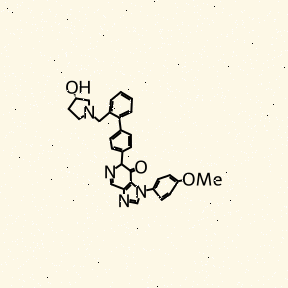 COc1ccc(-n2cnc3c2C(=O)C(c2ccc(-c4ccccc4CN4CC[C@H](O)C4)cc2)N=C3)cc1